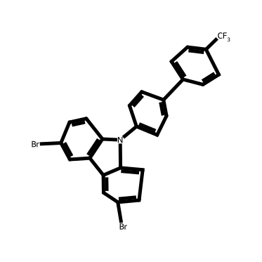 FC(F)(F)c1ccc(-c2ccc(-n3c4ccc(Br)cc4c4cc(Br)ccc43)cc2)cc1